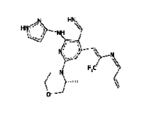 C=C/C=N\C(=C\c1cc(N2CCOC[C@H]2C)nc(Nc2cc[nH]n2)c1C=N)C(F)(F)F